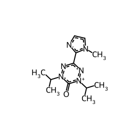 CC(C)n1nc(-c2nccn2C)n[n+](C(C)C)c1=O